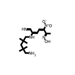 CC(=N\O)/C(=C\C=C(/C=N)NCC(C)(C)CC(C)(C)CN)[N+](=O)[O-]